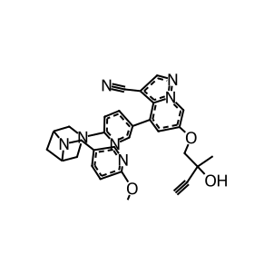 C#CC(C)(O)COc1cc(-c2ccc(N3CC4CC(C3)N4Cc3ccc(OC)nc3)nc2)c2c(C#N)cnn2c1